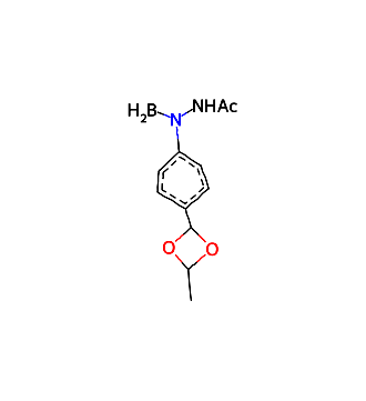 BN(NC(C)=O)c1ccc(C2OC(C)O2)cc1